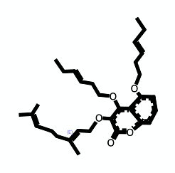 CCC=CCCOc1cccc2oc(=O)c(OC/C=C(\C)CCC=C(C)C)c(OCCC=CCC)c12